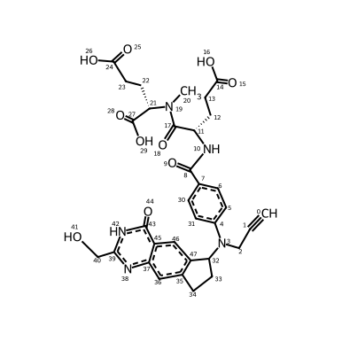 C#CCN(c1ccc(C(=O)N[C@@H](CCC(=O)O)C(=O)N(C)[C@@H](CCC(=O)O)C(=O)O)cc1)C1CCc2cc3nc(CO)[nH]c(=O)c3cc21